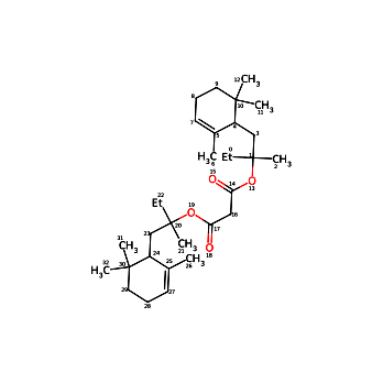 CCC(C)(CC1C(C)=CCCC1(C)C)OC(=O)CC(=O)OC(C)(CC)CC1C(C)=CCCC1(C)C